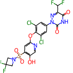 O=c1[nH]c(=O)n(-c2cc(Cl)c(Oc3cc(S(=O)(=O)N4CC(F)(F)C4)c(O)cn3)c(Cl)c2)nc1C(F)F